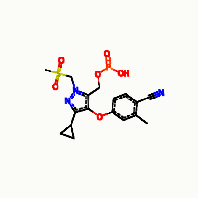 Cc1cc(Oc2c(C3CC3)nn(CS(C)(=O)=O)c2CO[PH](=O)O)ccc1C#N